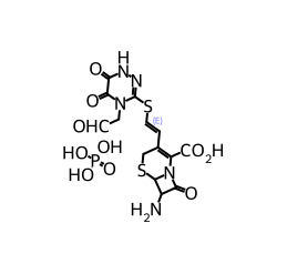 NC1C(=O)N2C(C(=O)O)=C(/C=C/Sc3n[nH]c(=O)c(=O)n3CC=O)CSC12.O=P(O)(O)O